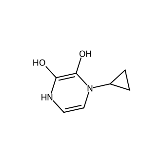 OC1=C(O)N(C2CC2)C=CN1